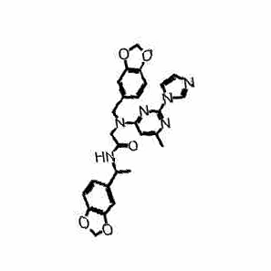 Cc1cc(N(CC(=O)NC(C)c2ccc3c(c2)OCO3)Cc2ccc3c(c2)OCO3)nc(-n2ccnc2)n1